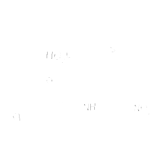 O=C(CCl)Nc1c([N+](=O)[O-])csc1C(=O)O